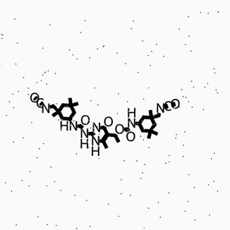 Cc1[nH]c(NC(=O)NC2CC(C)(C)CC(C)(CN=C=O)C2)nc(=O)c1C(C)OC(=O)NC1CC(C)(C)CC(C)(CN=C=O)C1